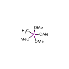 COP(C)(OC)(OC)OC